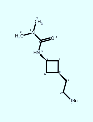 CN(C)C(=O)N[C@H]1C[C@@H](CCC(C)(C)C)C1